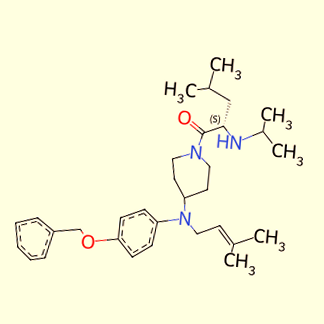 CC(C)=CCN(c1ccc(OCc2ccccc2)cc1)C1CCN(C(=O)[C@H](CC(C)C)NC(C)C)CC1